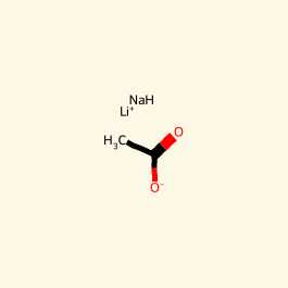 CC(=O)[O-].[Li+].[NaH]